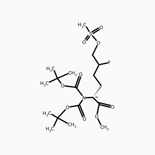 COC(=O)[C@@H](CCC(F)COS(C)(=O)=O)N(C(=O)OC(C)(C)C)C(=O)OC(C)(C)C